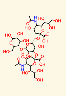 CC(=O)N[C@H]1[C@H]([C@H](O)[C@H](O)CO)O[C@@](OC[C@H]2O[C@@H](O[C@H]3[C@H](O)[C@@H](O)C(O)O[C@@H]3CO)[C@H](O)[C@@H](O[C@]3(C(=O)O)C[C@H](O)[C@@H](NC(C)=O)[C@H]([C@H](O)[C@H](O)CO)O3)[C@H]2O)(C(=O)O)C[C@@H]1O